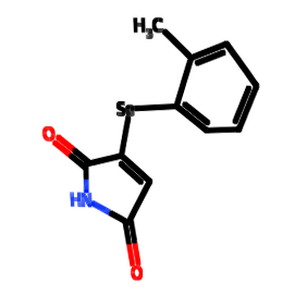 Cc1ccccc1[Se]C1=CC(=O)NC1=O